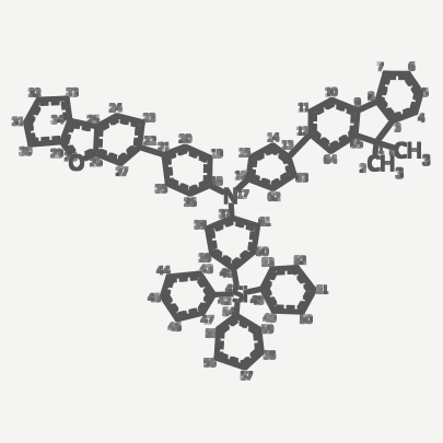 CC1(C)c2ccccc2-c2ccc(-c3ccc(N(c4ccc(-c5ccc6c(c5)oc5ccccc56)cc4)c4ccc([Si](c5ccccc5)(c5ccccc5)c5ccccc5)cc4)cc3)cc21